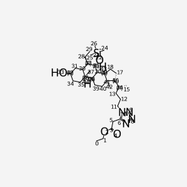 CCOC(=O)Cc1nnnn1CCC[C@@H](C)[C@H]1CC[C@H]2C3[C@H](O[Si](C)(C)C)[C@H](CC)C4C[C@H](O)CC[C@@]4(C)[C@H]3CCC12C